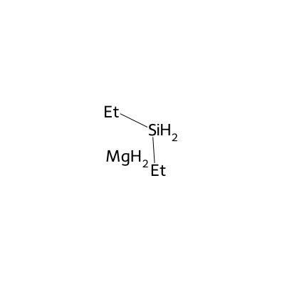 CC[SiH2]CC.[MgH2]